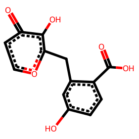 O=C(O)c1ccc(O)cc1Cc1occc(=O)c1O